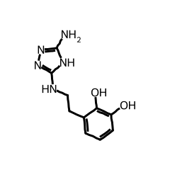 Nc1nnc(NCCc2cccc(O)c2O)[nH]1